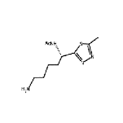 CC(=O)N[C@@H](CCCCN)c1nnc(C)s1